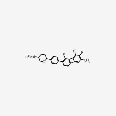 CCCCCC1CCC(c2ccc(-c3ccc4c(c3F)-c3c-4cc(C)c(F)c3F)cc2)OC1